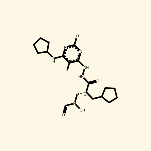 O=CN(O)C[C@@H](CC1CCCC1)C(=O)NNc1nc(Cl)nc(NC2CCCC2)c1F